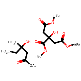 CC(=O)OC(=O)CC(O)(CC(=O)O)C(=O)O.CCCCOC(=O)CC(O)(CC(=O)OCCCC)C(=O)OCCCC